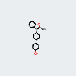 CCCCc1oc2ccccc2c1-c1ccc(-c2ccc(O)cc2)cc1